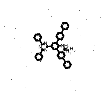 C=C(C)Nc1c(-c2ccc(-c3ccccc3)cc2)cc(-c2nc(-c3ccccc3)nc(-c3ccccc3)n2)cc1-c1ccc(-c2ccccc2)cc1